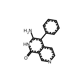 Nc1[nH]c(=O)c2cnccc2c1-c1ccccc1